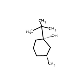 C[C@@H]1CCC[C@@](O)(C(C)(C)C)C1